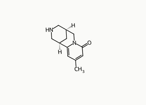 Cc1cc2n(c(=O)c1)C[C@@H]1CNC[C@H]2C1